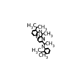 C/C(=N/c1c(C)cccc1C(C)C)c1cccc(/C(C)=N/c2ccccc2C(C)C)n1